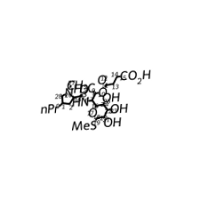 CCCC1CC(C(=O)NC(C(C)OC(=O)CCC(=O)O)C2OC(SC)C(O)C(O)C2O)N(C)C1